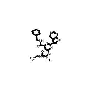 C[C@H](Nc1cc(C(=O)NCc2ccccc2)nc(-c2c[nH]c3ncncc23)n1)C(=O)NCC(F)(F)F